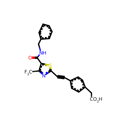 O=C(O)Cc1ccc(C#Cc2nc(C(F)(F)F)c(C(=O)NCc3ccccc3)s2)cc1